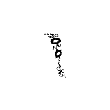 C=CC(=O)OCCSc1ccc(/N=N/c2ccc(S(=O)(=O)CC(C)CC)cc2)cc1